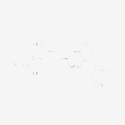 CCC(C)Oc1ccc(OCC(C)ON=C(C)C)cc1C(F)(F)F